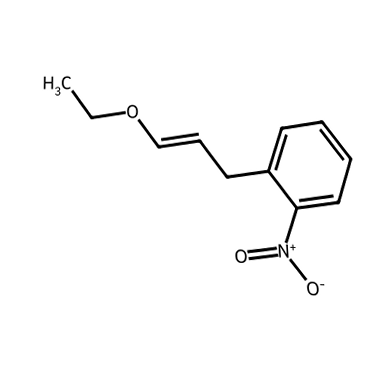 CCOC=CCc1ccccc1[N+](=O)[O-]